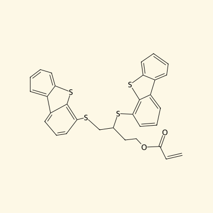 C=CC(=O)OCCC(CSc1cccc2c1sc1ccccc12)Sc1cccc2c1sc1ccccc12